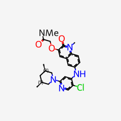 CNC(=O)COc1cc2cc(Nc3cc(N4C[C@H](C)C[C@H](C)C4)ncc3Cl)ccc2n(C)c1=O